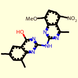 COc1ccc([N+](=O)[O-])c2c(C)nc(Nc3nc(O)c4cc(C)cc(C)c4n3)nc12